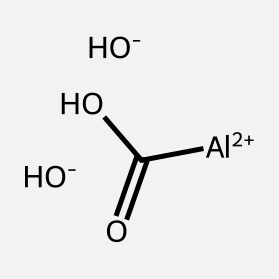 O=[C](O)[Al+2].[OH-].[OH-]